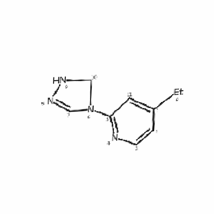 CCc1ccnc(N2C=NNC2)c1